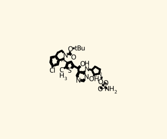 Cc1sc(C(=O)c2cncnc2NC2CC[C@H](COS(N)(=O)=O)[C@H]2O)cc1[C@H]1c2cc(Cl)ccc2CCN1C(=O)OC(C)(C)C